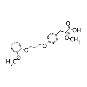 COc1ccccc1OCCCOc1ccc(C[C@H](OC)C(=O)O)cc1